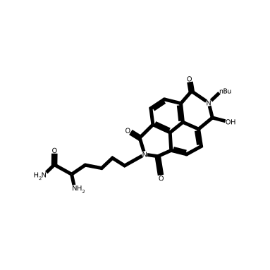 CCCCN1C(=O)c2ccc3c4c(ccc(c24)C1O)C(=O)N(CCCCC(N)C(N)=O)C3=O